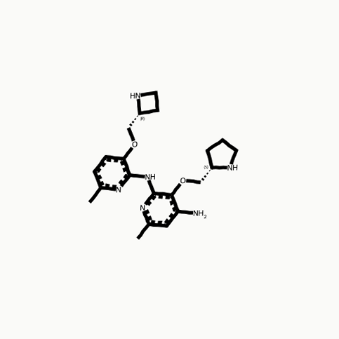 Cc1ccc(OC[C@H]2CCN2)c(Nc2nc(C)cc(N)c2OC[C@@H]2CCCN2)n1